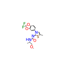 COCC(C)NC(=O)N=c1sc(C)cn1-c1ccc2c(c1)OC(F)(F)O2